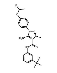 Cc1nn(-c2ccc(OC(F)F)cc2)c(N)c1C(=O)Nc1cccc(C(C)(F)F)c1